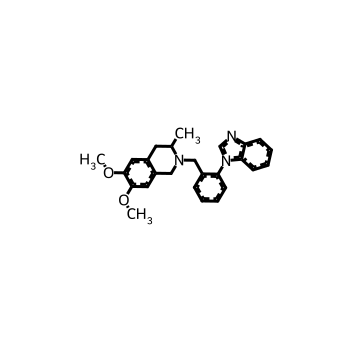 COc1cc2c(cc1OC)CN(Cc1ccccc1-n1cnc3ccccc31)C(C)C2